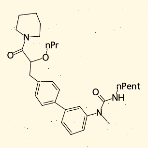 CCCCCNC(=O)N(C)c1cccc(-c2ccc(CC(OCCC)C(=O)N3CCCCC3)cc2)c1